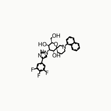 OC[C@H]1O[C@@]2(CCCN(c3cccc4ccccc34)C2)[C@H](O)[C@@H](n2cc(-c3cc(F)c(F)c(F)c3)nn2)[C@H]1O